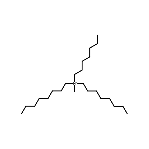 CCCCCCCC[N+](C)(CCCCCCC)CCCCCCCC